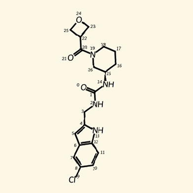 O=C(NCc1cc2cc(Cl)ccc2[nH]1)N[C@@H]1CCCN(C(=O)C2COC2)C1